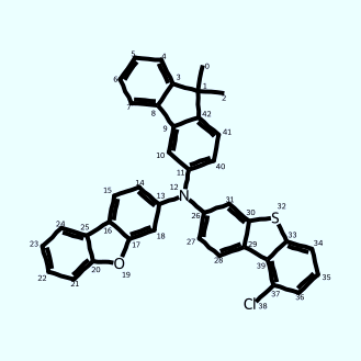 CC1(C)c2ccccc2-c2cc(N(c3ccc4c(c3)oc3ccccc34)c3ccc4c(c3)sc3cccc(Cl)c34)ccc21